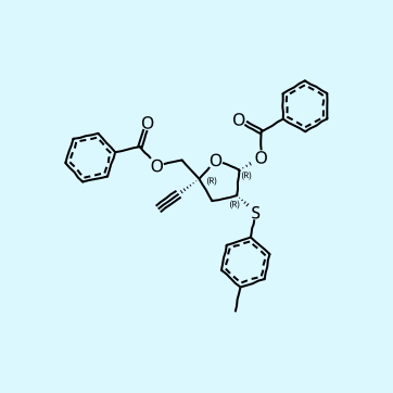 C#C[C@@]1(COC(=O)c2ccccc2)C[C@@H](Sc2ccc(C)cc2)[C@@H](OC(=O)c2ccccc2)O1